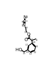 CC(C(=O)OCCN=[N+]=[N-])c1cccc(CO)c1